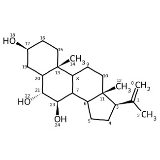 C=C(C)[C@H]1CCC2C3C(CC[C@@]21C)[C@@]1(C)CC[C@H](O)CC1[C@@H](O)[C@@H]3O